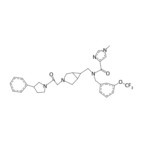 Cn1cnc(C(=O)N(Cc2cccc(OC(F)(F)F)c2)CC2C3CN(CC(=O)N4CCC(c5ccccc5)C4)CC32)c1